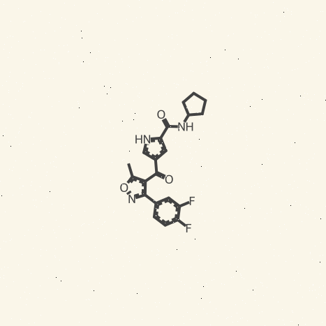 Cc1onc(-c2ccc(F)c(F)c2)c1C(=O)c1c[nH]c(C(=O)NC2CCCC2)c1